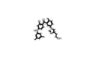 Cc1cc(C)cc(Nc2ccc(C(=O)c3cc(-n4cc(CCO)nn4)ccc3C)c(Cl)c2)c1